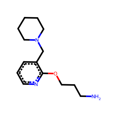 NCCCOc1ncccc1CN1CCCCC1